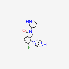 O=C1c2ccc(F)c(N3C4CNCC3C4)c2CN1C1CCCNC1